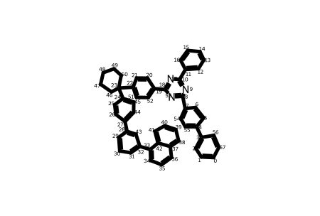 c1ccc(-c2ccc(-c3nc(-c4ccccc4)nc(-c4ccc(C5(c6ccc(-c7cccc(-c8cccc9ccccc89)c7)cc6)CCCCC5)cc4)n3)cc2)cc1